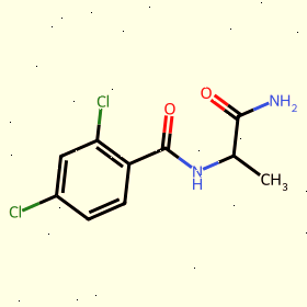 CC(NC(=O)c1ccc(Cl)cc1Cl)C(N)=O